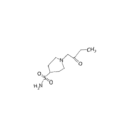 CCC(=O)CN1CCC(S(N)(=O)=O)CC1